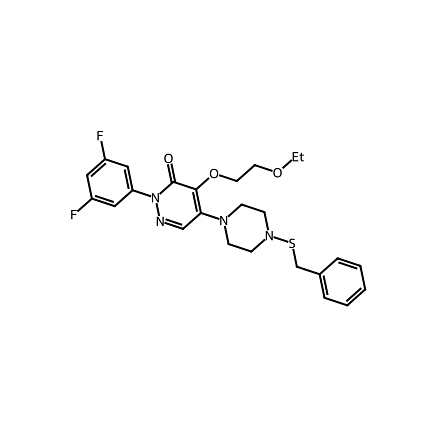 CCOCCOc1c(N2CCN(SCc3ccccc3)CC2)cnn(-c2cc(F)cc(F)c2)c1=O